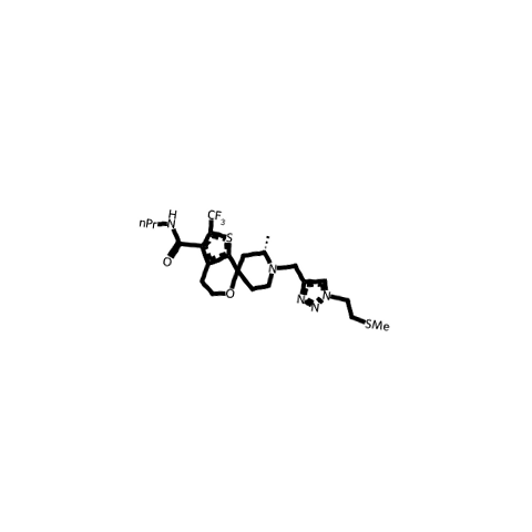 CCCNC(=O)c1c(C(F)(F)F)sc2c1CCOC21CCN(Cc2cn(CCSC)nn2)[C@@H](C)C1